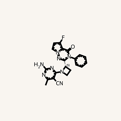 Cc1nc(N)nc(N2CC[C@H]2c2nn3ccc(F)c3c(=O)n2-c2ccccc2)c1C#N